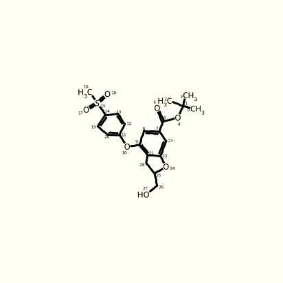 CC(C)(C)OC(=O)c1cc(Oc2ccc(S(C)(=O)=O)cc2)c2c(c1)OC(CO)C2